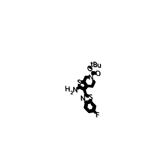 CC(C)(C)OC(=O)N1CCc2c(sc(N)c2-c2nc3ccc(F)cc3s2)C1